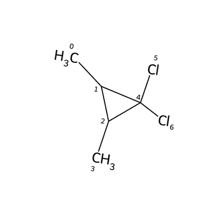 CC1C(C)C1(Cl)Cl